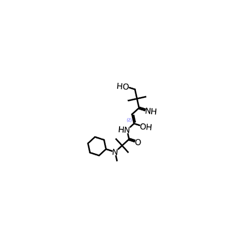 CN(C1CCCCC1)C(C)(C)C(=O)N/C(O)=C/C(=N)C(C)(C)CO